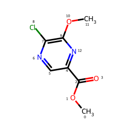 COC(=O)c1cnc(Cl)c(OC)n1